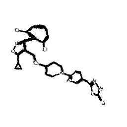 O=c1[nH]nc(-c2ccc(N3CCC(OCc4c(-c5c(Cl)cccc5Cl)noc4C4CC4)CC3)nc2)o1